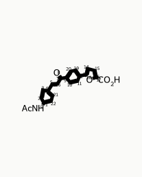 CC(=O)Nc1ccc(/C=C/C(=O)c2ccc(-c3ccc(C(=O)O)o3)cc2)cc1